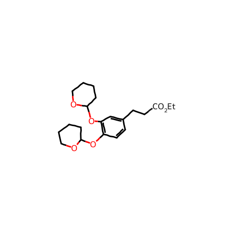 CCOC(=O)CCc1ccc(OC2CCCCO2)c(OC2CCCCO2)c1